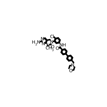 CN1C(=O)N(c2cc(NC(=O)c3ccc(-c4ccc(CN5CCOCC5)cc4)cc3)ccc2Cl)Cc2cnc(N)nc21